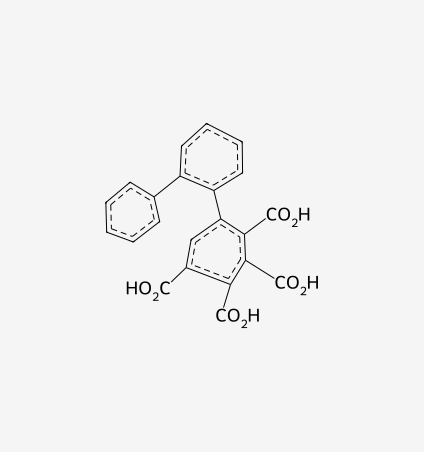 O=C(O)c1cc(-c2ccccc2-c2ccccc2)c(C(=O)O)c(C(=O)O)c1C(=O)O